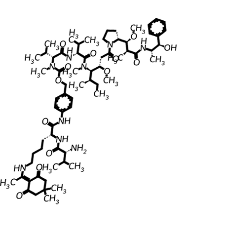 CC[C@@H](C)[C@H]([C@H](CC(=O)N1CCC[C@@H]1[C@@H](OC)[C@H](C)C(=O)N[C@@H](C)[C@H](O)c1ccccc1)OC)N(C)C(=O)[C@H](NC(=O)[C@@H](C(C)C)N(C)C(=O)OCc1ccc(NC(=O)[C@@H](CCCCNC(C)=C2C(=O)CC(C)(C)CC2=O)NC(=O)[C@H](N)C(C)C)cc1)C(C)C